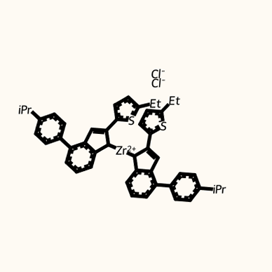 CCc1ccc(C2=Cc3c(-c4ccc(C(C)C)cc4)cccc3[CH]2[Zr+2][CH]2C(c3ccc(CC)s3)=Cc3c(-c4ccc(C(C)C)cc4)cccc32)s1.[Cl-].[Cl-]